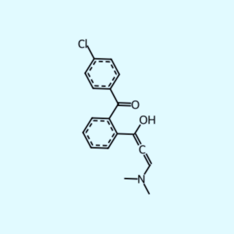 CN(C)C=C=C(O)c1ccccc1C(=O)c1ccc(Cl)cc1